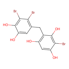 Oc1cc(Cc2c(O)cc(O)c(Br)c2O)c(Br)c(Br)c1O